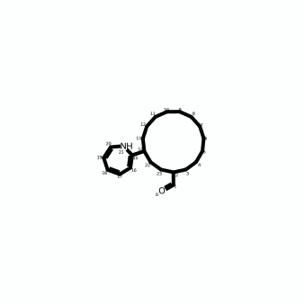 O=CC1CCCCCCCCCCCC(C2=CC=CC=CN2)CC1